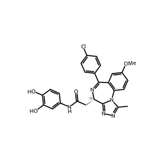 COc1ccc2c(c1)C(c1ccc(Cl)cc1)=N[C@@H](CC(=O)Nc1ccc(O)c(O)c1)c1nnc(C)n1-2